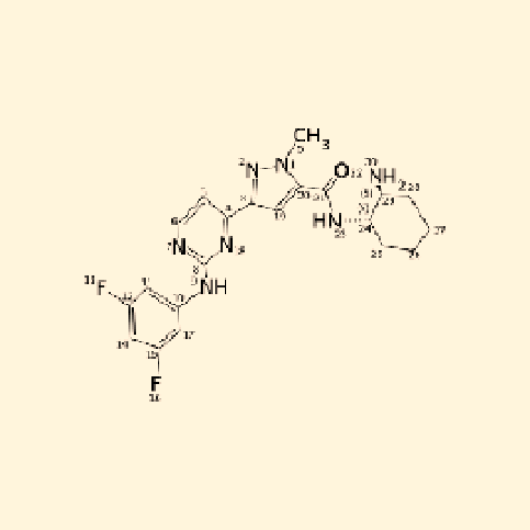 Cn1nc(-c2ccnc(Nc3cc(F)cc(F)c3)n2)cc1C(=O)N[C@H]1CCCC[C@@H]1N